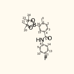 Cc1ccc(C(=O)Nc2ccc(F)cc2)cc1B1OC(C)(C)C(C)(C)O1